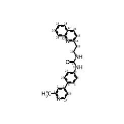 Cc1cc(-c2ccc(NC(=O)NCCc3ccc4ccccc4n3)cc2)ccn1